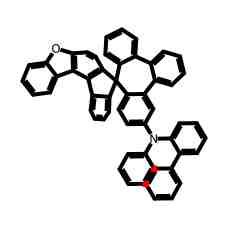 c1ccc(-c2ccccc2N(c2ccccc2)c2ccc3c(c2)-c2ccccc2-c2ccccc2C32c3ccccc3-c3c2ccc2oc4ccccc4c32)cc1